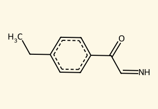 CCc1ccc(C(=O)C=N)cc1